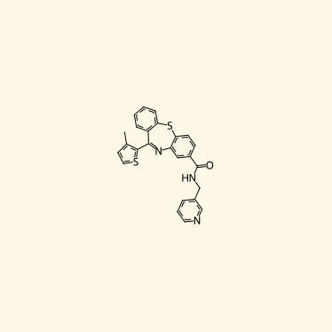 Cc1ccsc1C1=Nc2cc(C(=O)NCc3cccnc3)ccc2Sc2ccccc21